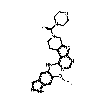 COc1cc2[nH]ncc2cc1Nc1ncnc2sc3c(c12)CCN(C(=O)N1CCOCC1)C3